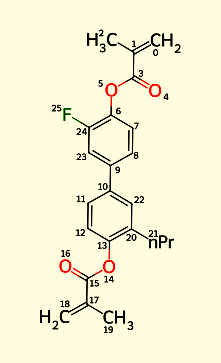 C=C(C)C(=O)Oc1ccc(-c2ccc(OC(=O)C(=C)C)c(CCC)c2)cc1F